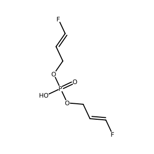 O=P(O)(OCC=CF)OCC=CF